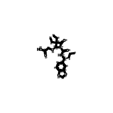 CCC[C@@H](NC(=O)N1C(=O)C(CC)(CC)[C@@H]1OCC(=O)O)c1ccc2c(c1)OCO2